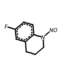 O=NN1CCCc2cc(F)ccc21